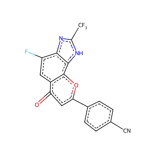 N#Cc1ccc(-c2cc(=O)c3cc(F)c4nc(C(F)(F)F)[nH]c4c3o2)cc1